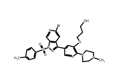 Cc1ccc(S(=O)(=O)n2nc(-c3cnc(N4CCN(C)CC4)c(OCCCO)c3)c3cc(Br)ncc32)cc1